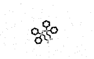 SCC[Si](O[Si](CCS)(c1ccccc1)c1ccccc1)(c1ccccc1)c1ccccc1